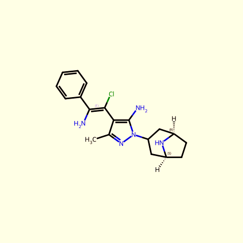 Cc1nn(C2C[C@H]3CC[C@@H](C2)N3)c(N)c1/C(Cl)=C(\N)c1ccccc1